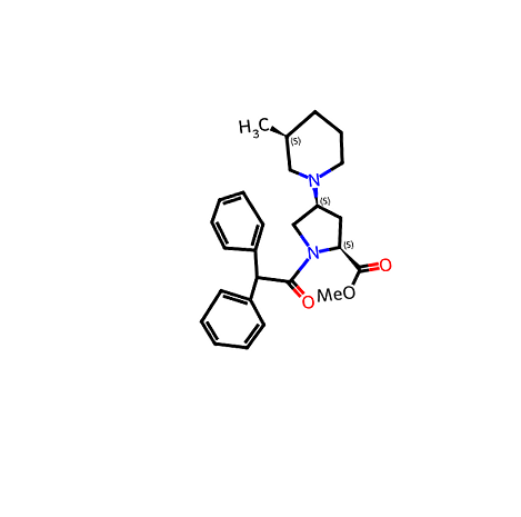 COC(=O)[C@@H]1C[C@H](N2CCC[C@H](C)C2)CN1C(=O)C(c1ccccc1)c1ccccc1